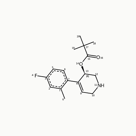 Cc1cc(F)ccc1C1=CCNC[C@@H]1OC(=O)C(C)(C)C